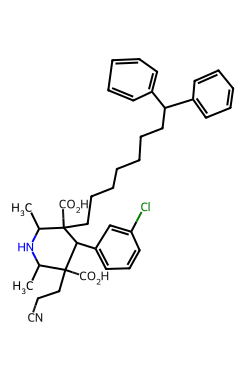 CC1NC(C)C(CCCCCCCC(c2ccccc2)c2ccccc2)(C(=O)O)C(c2cccc(Cl)c2)C1(CCC#N)C(=O)O